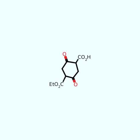 CCOC(=O)C1CC(=O)C(C(=O)O)CC1=O